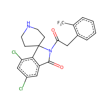 O=C(Cc1ccccc1C(F)(F)F)N1C(=O)c2cc(Cl)cc(Cl)c2C12CCNCC2